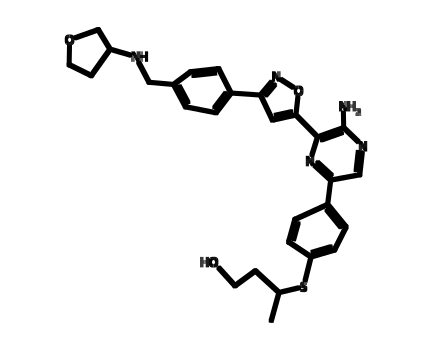 CC(CCO)Sc1ccc(-c2cnc(N)c(-c3cc(-c4ccc(CNC5CCOC5)cc4)no3)n2)cc1